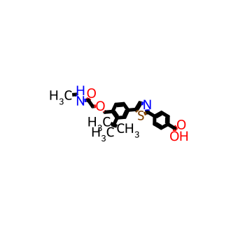 CCNC(=O)COCc1ccc(-c2cnc(-c3ccc(C(=O)O)cc3)s2)cc1C(C)(C)C